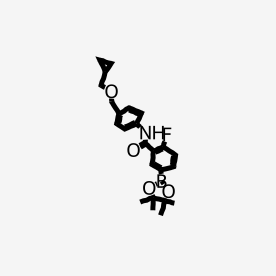 CC1(C)OB(c2ccc(F)c(C(=O)Nc3ccc(COCC4CC4)cc3)c2)OC1(C)C